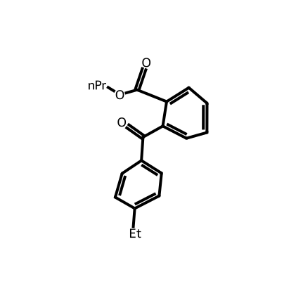 CCCOC(=O)c1ccccc1C(=O)c1ccc(CC)cc1